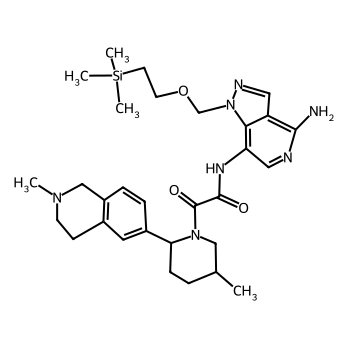 CC1CCC(c2ccc3c(c2)CCN(C)C3)N(C(=O)C(=O)Nc2cnc(N)c3cnn(COCC[Si](C)(C)C)c23)C1